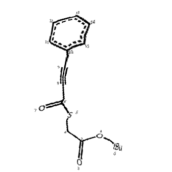 CC(C)(C)OC(=O)CSC(=O)C#Cc1ccccc1